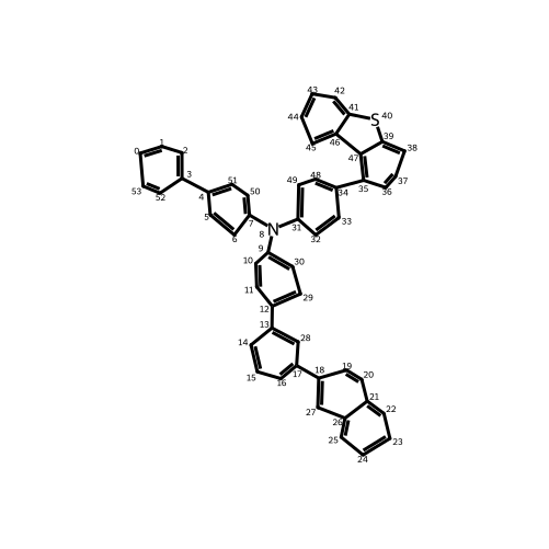 c1ccc(-c2ccc(N(c3ccc(-c4cccc(-c5ccc6ccccc6c5)c4)cc3)c3ccc(-c4cccc5sc6ccccc6c45)cc3)cc2)cc1